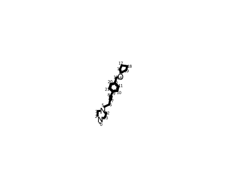 CN1CCN(CCC#Cc2ccc(COC3CCCC3)cc2)CC1